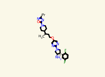 CC(C)c1noc(N2CCC([C@H](C)CCOc3cnc(N4C[C@H](c5cc(F)ccc5F)[C@@H](N)C4)nc3)CC2)n1